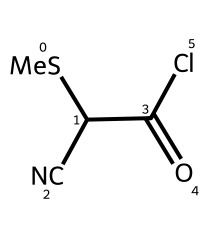 CSC(C#N)C(=O)Cl